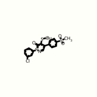 CCC(C)Sc1c(-c2ccc(S(C)(=O)=O)cc2)cnn(-c2cccc(Cl)c2)c1=O